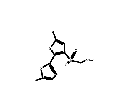 CCCCCCCCCCS(=O)(=O)c1cc(C)sc1-c1ccc(C)s1